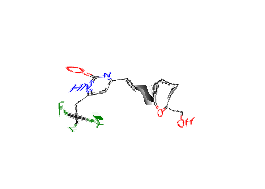 O=c1nc(C=Cc2ccc(CO)o2)cc(C(F)(F)F)[nH]1